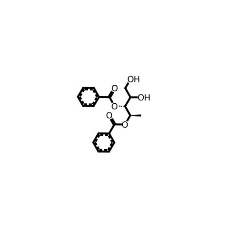 C[C@@H](OC(=O)c1ccccc1)[C@H](OC(=O)c1ccccc1)C(O)CO